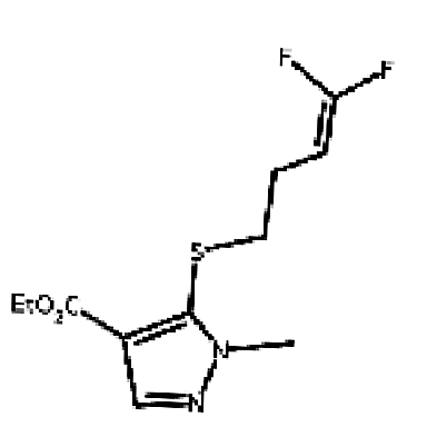 CCOC(=O)c1cnn(C)c1SCCC=C(F)F